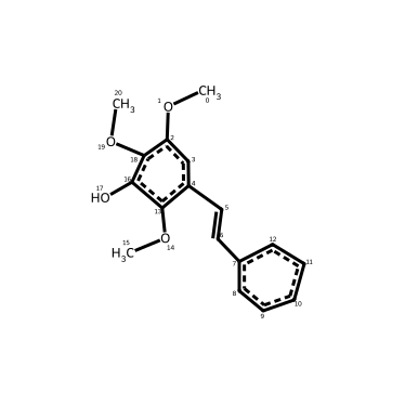 COc1cc(C=Cc2ccccc2)c(OC)c(O)c1OC